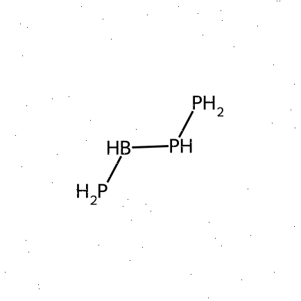 PBPP